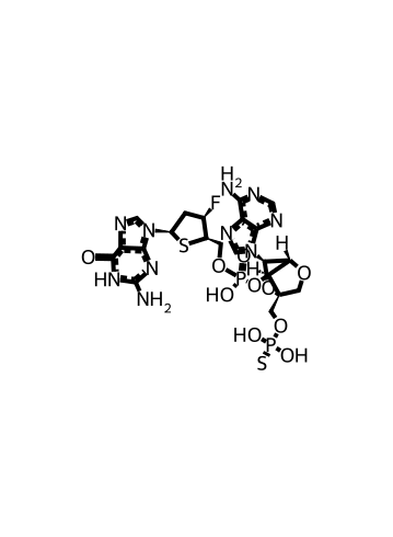 Nc1nc2c(ncn2[C@H]2C[C@@H](F)[C@@H](COP(=O)(O)O[C@H]3[C@H]4OC[C@]3(COP(O)(O)=S)O[C@H]4n3cnc4c(N)ncnc43)S2)c(=O)[nH]1